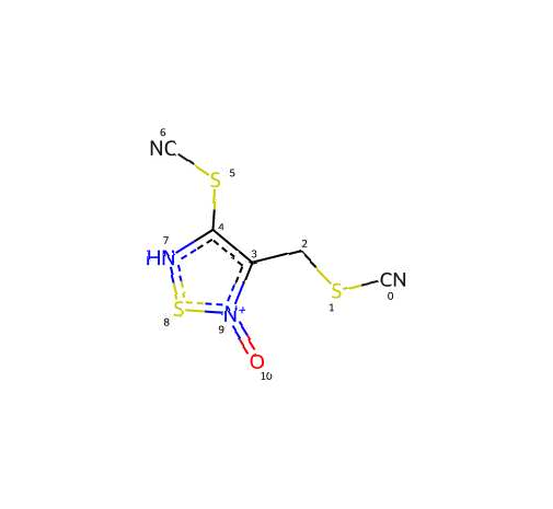 N#CSCc1c(SC#N)[nH]s[n+]1=O